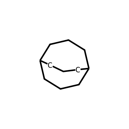 C1CC2CCCC(C1)CCC2